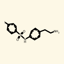 NCCc1ccc(NS(=O)(=O)c2ccc(I)cc2)cc1